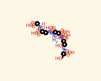 Nc1c(N=Nc2ccc3cc(S(=O)(=O)O)c(N=Nc4cccc(S(=O)(=O)O)c4)c(O)c3c2)c(S(=O)(=O)O)cc2cc(S(=O)(=O)O)c(N=Nc3cc4c(O)c(N=Nc5ccc(CO)cc5S(=O)(=O)O)ccc4cc3S(=O)(=O)O)c(O)c12